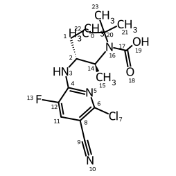 CC[C@@H](Nc1nc(Cl)c(C#N)cc1F)[C@H](C)N(C(=O)O)C(C)(C)C